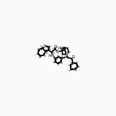 O=C(C[N+]12CCC(CC1)[C@@H](OC(=O)C(Nc1cccc(F)c1)c1csc3ccccc13)C2)c1ccccc1